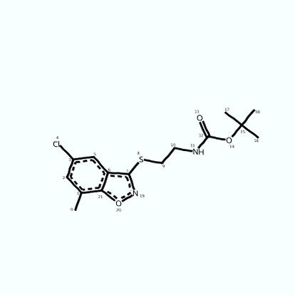 Cc1cc(Cl)cc2c(SCCNC(=O)OC(C)(C)C)noc12